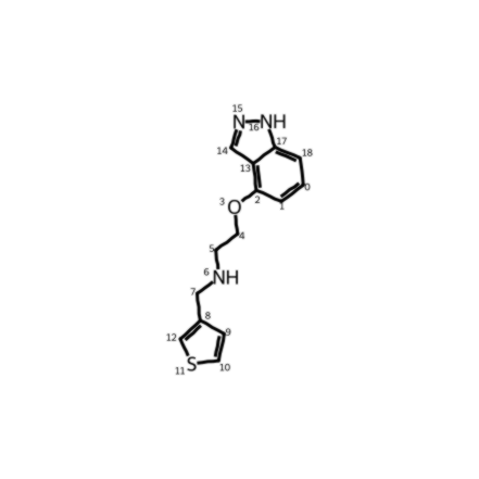 c1cc(OCCNCc2ccsc2)c2cn[nH]c2c1